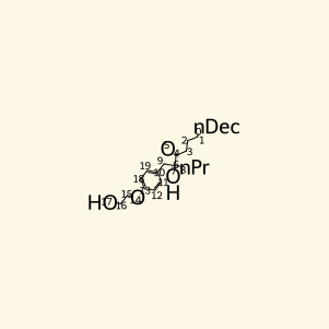 CCCCCCCCCCCCCC(=O)C(O)(CCC)Cc1ccc(OCCO)cc1